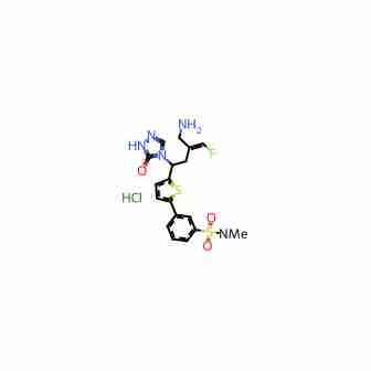 CNS(=O)(=O)c1cccc(-c2ccc(C(C/C(=C\F)CN)n3cn[nH]c3=O)s2)c1.Cl